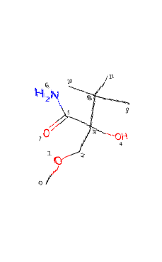 COCC(O)(C(N)=O)C(C)(C)C